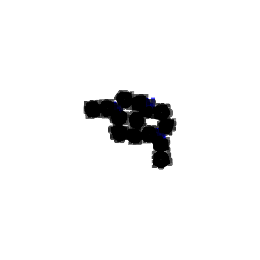 c1ccc(-c2ccc3c(c2)c2cc(-c4ccccc4)ccc2n3-c2cccc(-c3cccc(-c4cc(-c5ccccc5)c5cc(-c6cccc(-n7c8ccc(-c9ccccc9)cc8c8cc(-c9ccccc9)ccc87)c6)ccc5n4)c3)c2)cc1